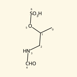 CC(CNC=O)OS(=O)(=O)O